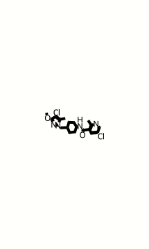 COc1nn(CC2CCC(NC(=O)c3cc(Cl)cnc3C)CC2)c(C)c1Cl